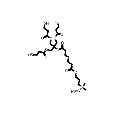 CO[Si](C)(C)CCCOC(=O)CCSCCC(=O)OC(COC(=O)CCS)(COC(=O)CCS)COC(=O)CCS